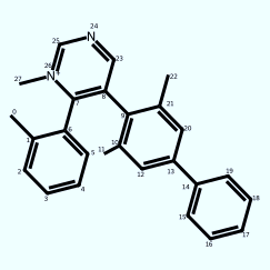 Cc1ccccc1-c1c(-c2c(C)cc(-c3ccccc3)cc2C)cnc[n+]1C